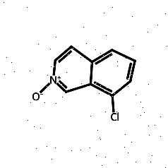 [O-][n+]1ccc2cccc(Cl)c2c1